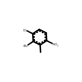 CCc1c[c]c([N+](=O)[O-])c(C)c1C(C)CC